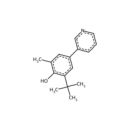 Cc1cc(-c2cccnc2)cc(C(C)(C)C)c1O